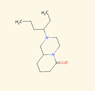 CCCC(CC)N1CCN2C(=O)CCCC2C1